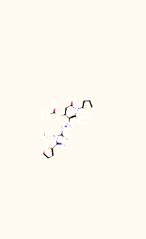 CCC(=O)Oc1cc(=O)n(-c2cccs2)c(O)c1N=Nc1nnc(-c2ccco2)n1C